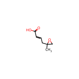 CC1(CC=CC(=O)O)CO1